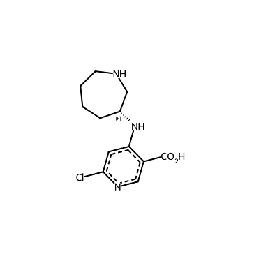 O=C(O)c1cnc(Cl)cc1N[C@@H]1CCCCNC1